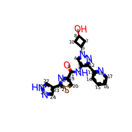 O=C(Nc1cn([C@H]2C[C@H](O)C2)nc1-c1ccccn1)c1csc(-c2cn[nH]c2)n1